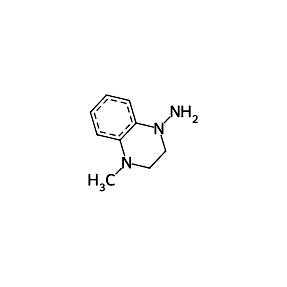 CN1CCN(N)c2ccccc21